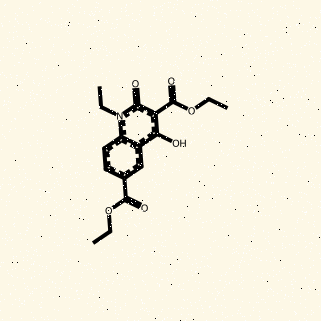 CCOC(=O)c1ccc2c(c1)c(O)c(C(=O)OCC)c(=O)n2CC